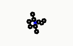 c1ccc(-c2ccc3c(c2)c2ccccc2c2ccccc2c2cc(-c4ccccc4)ccc2n3-c2ccc3c(ccc4ccccc43)c2)cc1